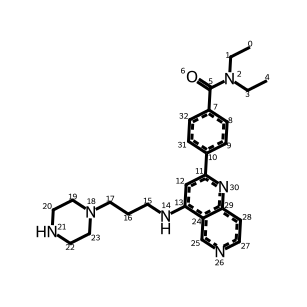 CCN(CC)C(=O)c1ccc(-c2cc(NCCCN3CCNCC3)c3cnccc3n2)cc1